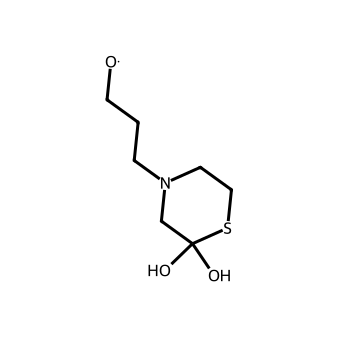 [O]CCCN1CCSC(O)(O)C1